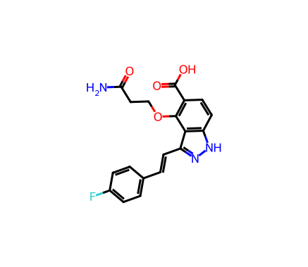 NC(=O)CCOc1c(C(=O)O)ccc2[nH]nc(/C=C/c3ccc(F)cc3)c12